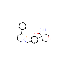 C[C@H]1CCC(c2ccccc2)S(=O)(=O)N1Cc1ccc(C2(C(N)=O)CCOCC2)cc1